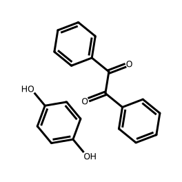 O=C(C(=O)c1ccccc1)c1ccccc1.Oc1ccc(O)cc1